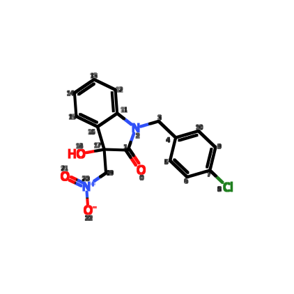 O=C1N(Cc2ccc(Cl)cc2)c2ccccc2C1(O)C[N+](=O)[O-]